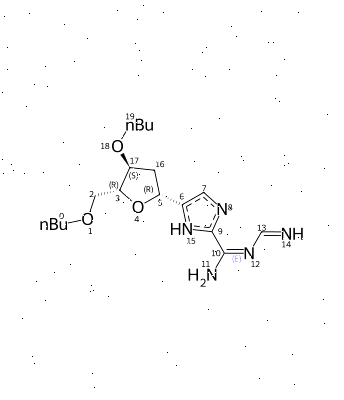 CCCCOC[C@H]1O[C@@H](c2cnc(/C(N)=N\C=N)[nH]2)C[C@@H]1OCCCC